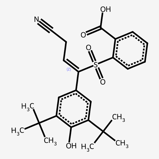 CC(C)(C)c1cc(/C(=C/CC#N)S(=O)(=O)c2ccccc2C(=O)O)cc(C(C)(C)C)c1O